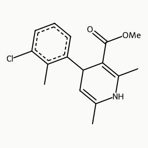 COC(=O)C1=C(C)NC(C)=CC1c1cccc(Cl)c1C